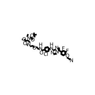 CCN(C(=O)OC(C)(C)C)C(CN(C)CCOCCNC(=O)c1ccc(Nc2nccn3c(-c4ccc(OCC#N)c(F)c4F)cnc23)cc1Cl)C(=O)OC